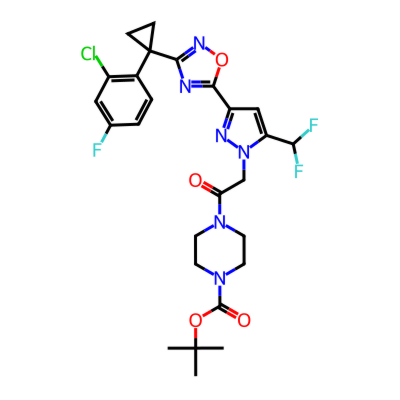 CC(C)(C)OC(=O)N1CCN(C(=O)Cn2nc(-c3nc(C4(c5ccc(F)cc5Cl)CC4)no3)cc2C(F)F)CC1